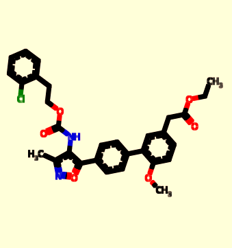 CCOC(=O)Cc1ccc(OC)c(-c2ccc(-c3onc(C)c3NC(=O)OCCc3ccccc3Cl)cc2)c1